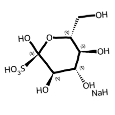 O=S(=O)(O)[C@@]1(O)O[C@H](CO)[C@@H](O)[C@H](O)[C@H]1O.[NaH]